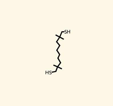 CC(C)(CS)CCCCCCC(C)(C)CS